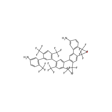 Nc1ccc(C(F)(F)F)c(-c2cc(-c3cc(-c4cc(-c5cc(N)ccc5C(F)(F)F)c(C(F)(F)F)cc4C(F)(F)F)c(C(F)(F)F)cc3C(F)(F)F)c(C(F)(F)F)cc2C(F)(F)F)c1